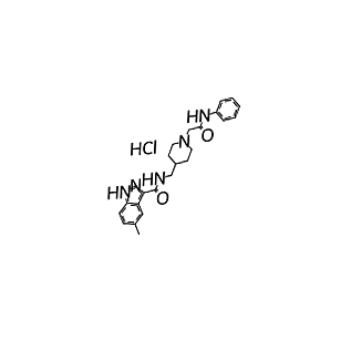 Cc1ccc2[nH]nc(C(=O)NCC3CCN(CC(=O)Nc4ccccc4)CC3)c2c1.Cl